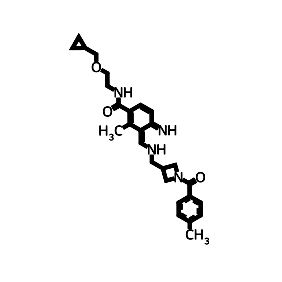 CC1=C(C(=O)NCCOCC2CC2)C=CC(=N)/C1=C\NCC1CN(C(=O)c2ccc(C)cc2)C1